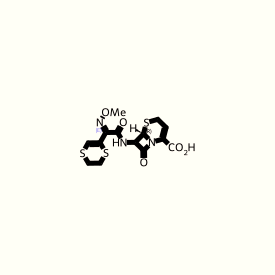 CO/N=C(\C(=O)NC1C(=O)N2C(C(=O)O)=CCS[C@H]12)C1=CSCCS1